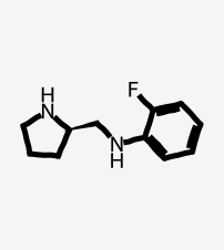 Fc1ccccc1NC[C@H]1CCCN1